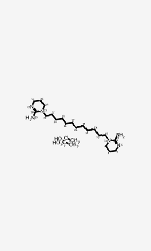 CC(=O)O.CC(=O)O.NC1=NCCCN1CCCCCCCCCCCCN1CCCN=C1N